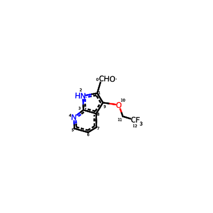 O=[C]c1[nH]c2ncccc2c1OCC(F)(F)F